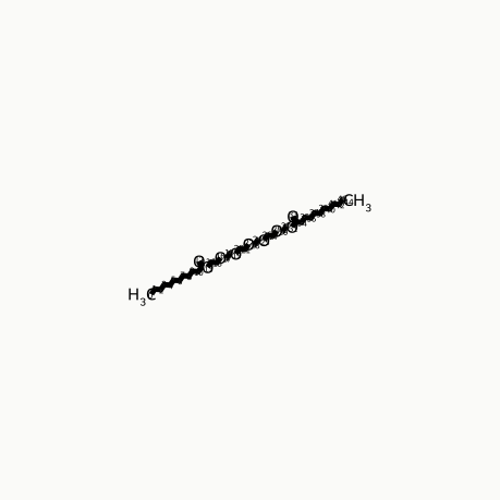 CCCCCCCCCCCC(=O)OCCOCCOCCOCCOCCOCCOC(=O)CCCCCCCCCCC